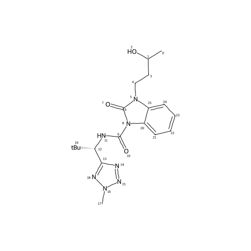 CC(O)CCn1c(=O)n(C(=O)N[C@H](c2nnn(C)n2)C(C)(C)C)c2ccccc21